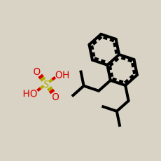 CC(C)Cc1ccc2ccccc2c1CC(C)C.O=S(=O)(O)O